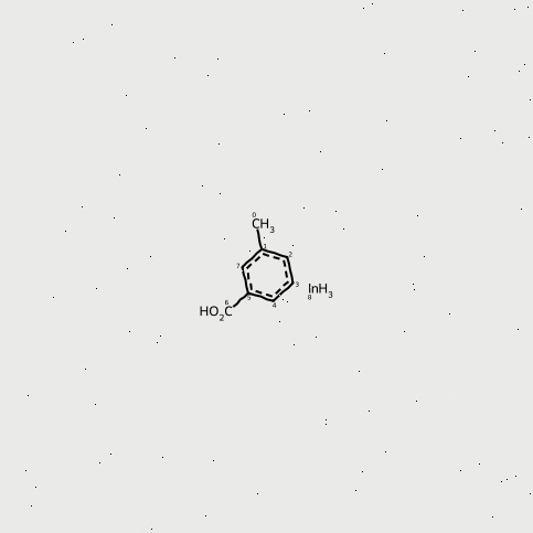 Cc1cccc(C(=O)O)c1.[InH3]